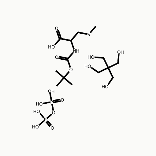 CSCC(NC(=O)OC(C)(C)C)C(=O)O.O=P(O)(O)OP(=O)(O)O.OCC(CO)(CO)CO